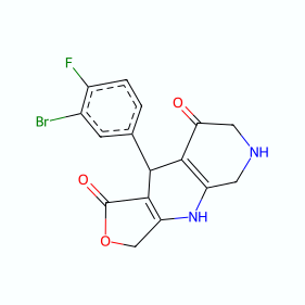 O=C1CNCC2=C1C(c1ccc(F)c(Br)c1)C1=C(COC1=O)N2